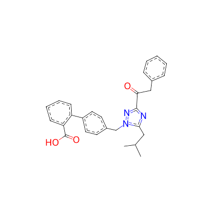 CC(C)Cc1nc(C(=O)Cc2ccccc2)nn1Cc1ccc(-c2ccccc2C(=O)O)cc1